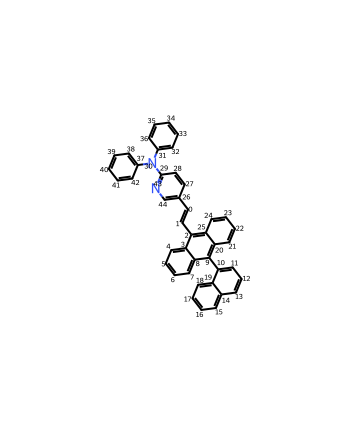 C(=C\c1c2ccccc2c(-c2cccc3ccccc23)c2ccccc12)/c1ccc(N(c2ccccc2)c2ccccc2)nc1